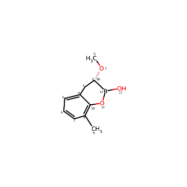 CO[C@H]1Cc2cccc(C)c2OB1O